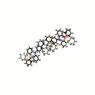 c1ccc(N(c2ccc3c4c(ccc3c2)-c2ccc3cc(N(c5ccccc5)c5cccc6c5oc5c(C7CCCCC7)cccc56)ccc3c2C4(C2CCCCC2)C2CCCCC2)c2cccc3c2oc2c(C4CCCCC4)cccc23)cc1